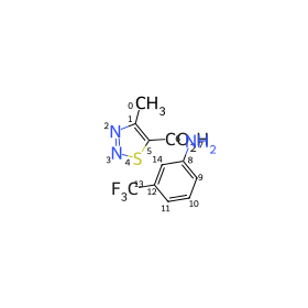 Cc1nnsc1C(=O)O.Nc1cccc(C(F)(F)F)c1